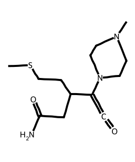 CSCCC(CC(N)=O)C(=C=O)N1CCN(C)CC1